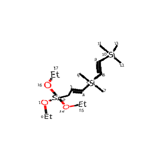 CCO[Si](C=C[Si](C)(C)C=C[Si](C)(C)C)(OCC)OCC